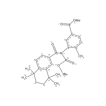 COC(=O)c1ccc(C)c(N(C(=O)OC(C)(C)C)C(=O)c2ccc3c(c2)C(C)(C)CCC3(C)C)c1